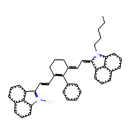 CCCC[N+]1=C(/C=C/C2=C(c3ccccc3)C(=C/C=c3\c4cccc5cccc(c54)n3CCCCI)/CCC2)c2cccc3cccc1c23